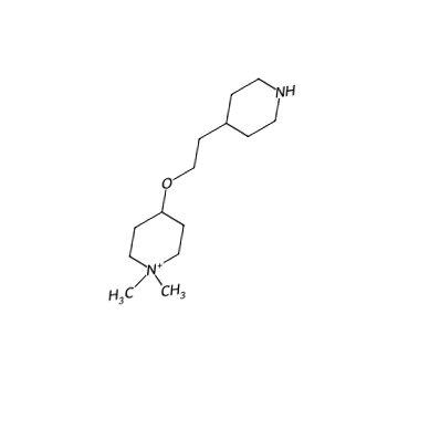 C[N+]1(C)CCC(OCCC2CCNCC2)CC1